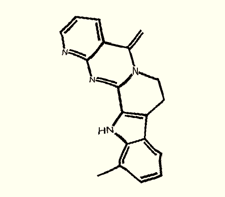 C=C1c2cccnc2N=C2c3[nH]c4c(C)cccc4c3CCN12